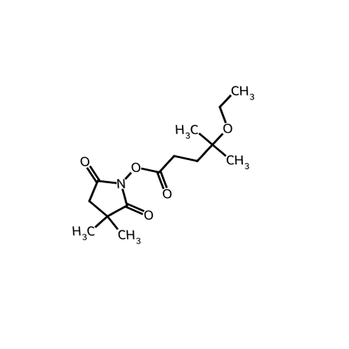 CCOC(C)(C)CCC(=O)ON1C(=O)CC(C)(C)C1=O